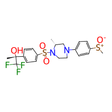 C[C@@H]1CN(c2ccc([S+](C)[O-])cc2)CCN1S(=O)(=O)c1ccc([C@@](C)(O)C(F)(F)F)cc1